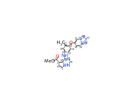 COC(=O)c1ccn2ncnc(Nc3ccc(Oc4ccn5ncnc5c4)c(C)c3)c12